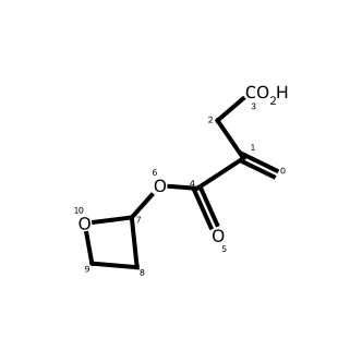 C=C(CC(=O)O)C(=O)OC1CCO1